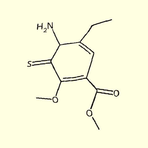 CCC1=CC(C(=O)OC)=C(OC)C(=S)C1N